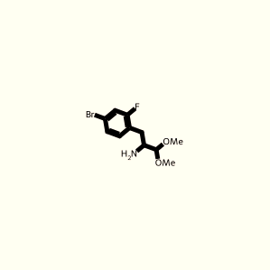 COC(OC)C(N)Cc1ccc(Br)cc1F